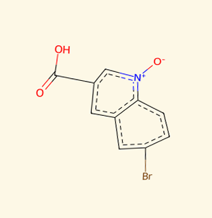 O=C(O)c1cc2cc(Br)ccc2[n+]([O-])c1